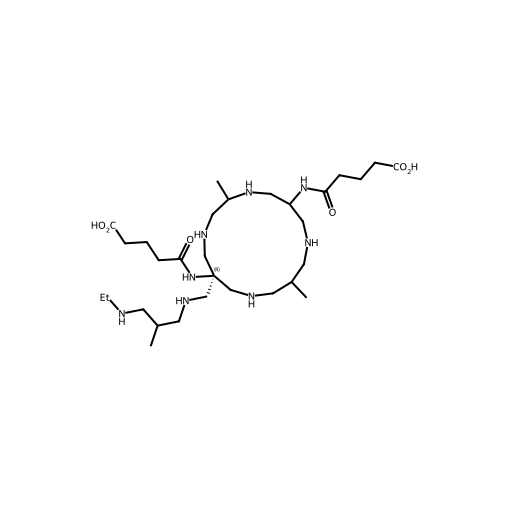 CCNCC(C)CNC[C@@]1(NC(=O)CCCC(=O)O)CNCC(C)CNCC(NC(=O)CCCC(=O)O)CNC(C)CNC1